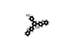 N#Cc1ccc(-c2cc(-c3ccc4c(c3)oc3ccccc34)c(C#N)c(-c3ccc4c(c3)sc3ccccc34)c2)cc1